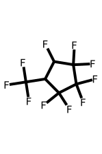 FC1C(C(F)(F)F)C(F)(F)C(F)(F)C1(F)F